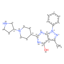 Cc1nn(-c2ccccc2)c2nc(C3CCN(C4CCNC4)CC3)nc(O)c12